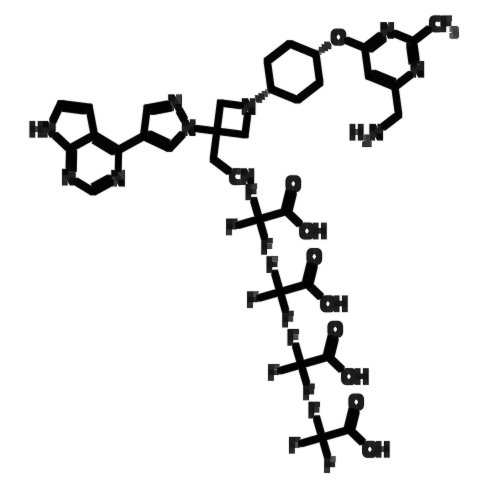 N#CCC1(n2cc(-c3ncnc4[nH]ccc34)cn2)CN([C@H]2CC[C@@H](Oc3cc(CN)nc(C(F)(F)F)n3)CC2)C1.O=C(O)C(F)(F)F.O=C(O)C(F)(F)F.O=C(O)C(F)(F)F.O=C(O)C(F)(F)F